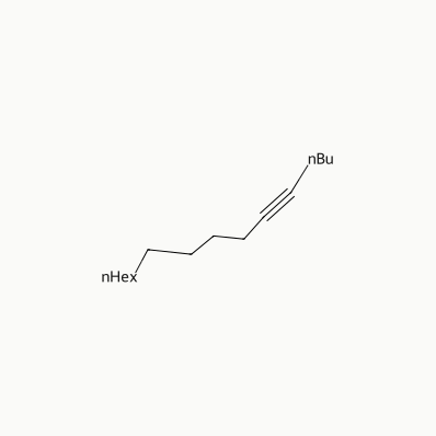 [CH2]CCCC#CCCCCCCCCC[CH2]